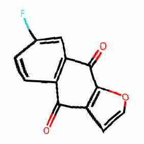 O=C1c2ccc(F)cc2C(=O)c2occc21